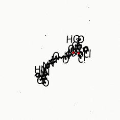 CC(=O)c1c(C)c2cnc(Nc3ccc(N4CCN(C(=O)CCCCC(=O)N5CCN(S(=O)(=O)C[C@@H](N6C(=O)[C@@](C)(CC(=O)O)C[C@H](c7cccc(Cl)c7)[C@H]6c6ccc(Cl)cc6)C(C)(C)C)CC5)CC4)cn3)nc2n(C2CCCC2)c1=O